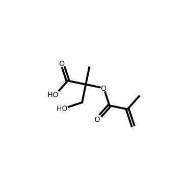 C=C(C)C(=O)OC(C)(CO)C(=O)O